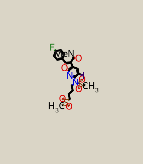 CNC(=O)c1c(-c2ccc(F)cc2)oc2nc(N(CCCCS(C)(=O)=O)S(C)(=O)=O)c(I)cc12